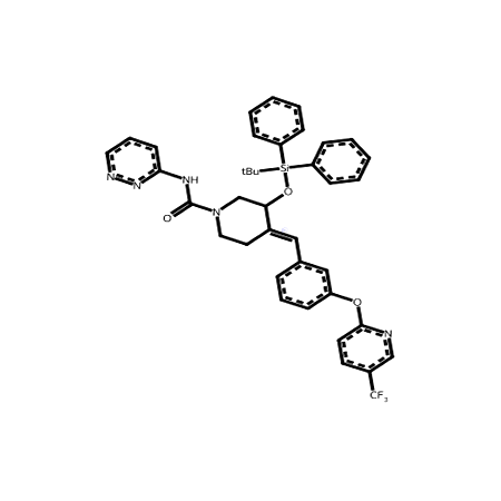 CC(C)(C)[Si](OC1CN(C(=O)Nc2cccnn2)CC/C1=C\c1cccc(Oc2ccc(C(F)(F)F)cn2)c1)(c1ccccc1)c1ccccc1